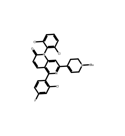 CC(C)(C)N1CC=C(c2cc3c(ccc(=O)n3-c3c(Cl)cccc3Cl)c(-c3ccc(F)cc3Cl)n2)CC1